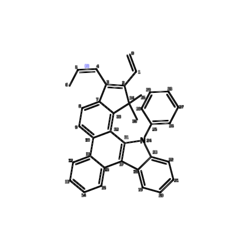 C=CC1=C(/C=C\C)c2ccc3c4ccccc4c4c5ccccc5n(-c5ccccc5)c4c3c2C1(C)C